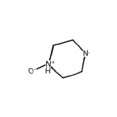 [O-][NH+]1CC[N]CC1